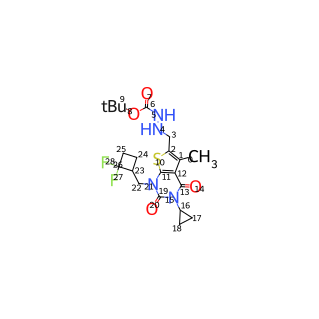 Cc1c(CNNC(=O)OC(C)(C)C)sc2c1c(=O)n(C1CC1)c(=O)n2CC1CCC1(F)F